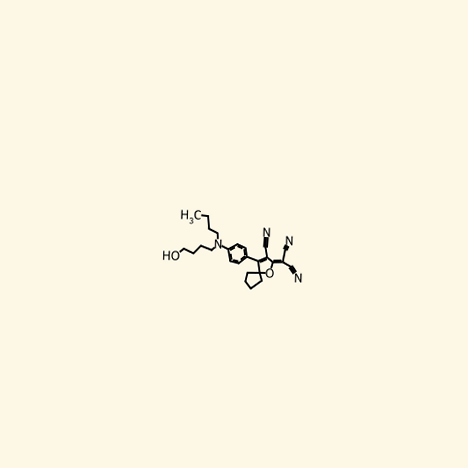 CCCCN(CCCCO)c1ccc(C2=C(C#N)C(=C(C#N)C#N)OC23CCCC3)cc1